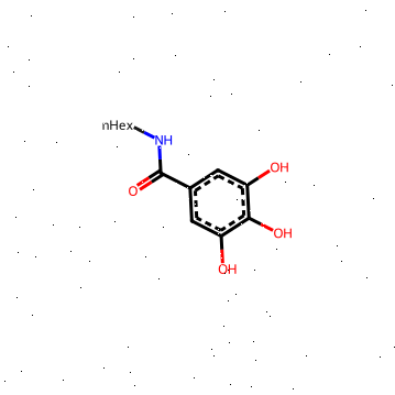 CCCCCCNC(=O)c1cc(O)c(O)c(O)c1